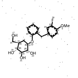 COc1ccc(Cc2ccccc2O[C@@H]2C[C@H](CO)[C@@H](O)[C@H](O)[C@H]2O)cc1F